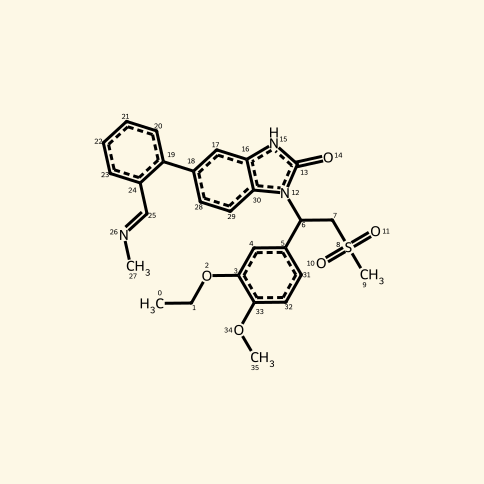 CCOc1cc(C(CS(C)(=O)=O)n2c(=O)[nH]c3cc(-c4ccccc4/C=N/C)ccc32)ccc1OC